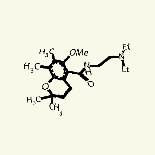 CCN(CC)CCNC(=O)c1c2c(c(C)c(C)c1OC)OC(C)(C)CC2